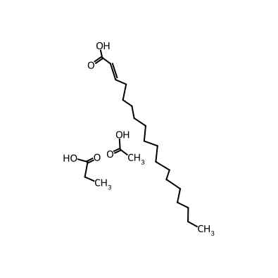 CC(=O)O.CCC(=O)O.CCCCCCCCCCCCCCC/C=C/C(=O)O